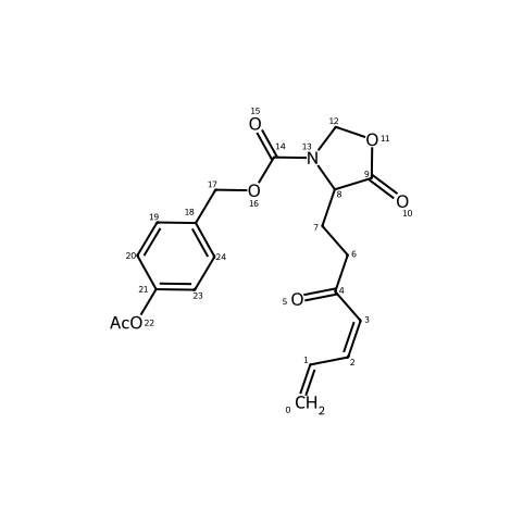 C=C/C=C\C(=O)CCC1C(=O)OCN1C(=O)OCc1ccc(OC(C)=O)cc1